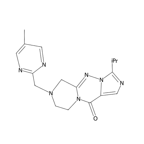 Cc1cnc(CN2CCn3c(nn4c(C(C)C)ncc4c3=O)C2)nc1